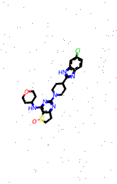 [O-][S@@+]1CCc2nc(N3CCC(c4nc5ccc(Cl)cc5[nH]4)CC3)nc(NC3CCOCC3)c21